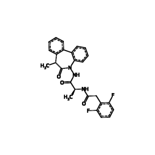 CC1C(=O)N(NC(=O)[C@H](C)NC(=O)Cc2c(F)cccc2F)c2ccccc2-c2ccccc21